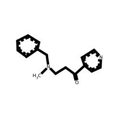 CN(CCC(=O)c1ccncc1)Cc1ccccc1